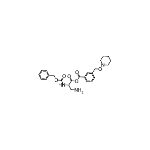 NCC(NC(=O)OCc1ccccc1)C(=O)OC(=O)c1cccc(CON2CCCCC2)c1